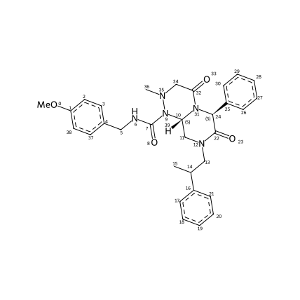 COc1ccc(CNC(=O)N2[C@H]3CN(CC(C)c4ccccc4)C(=O)[C@H](c4ccccc4)N3C(=O)CN2C)cc1